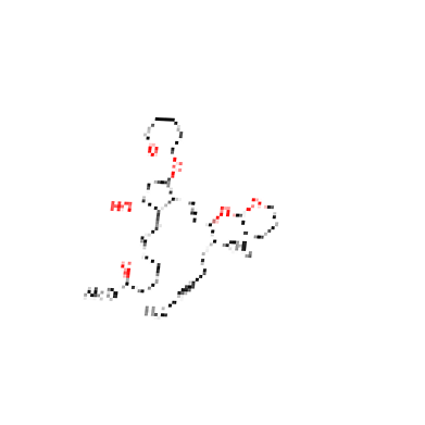 CC#CCCC(C)[C@@H](/C=C/[C@@H]1[C@@H](C/C=C\CCCC(=O)OC)[C@H](O)C[C@H]1OC1CCCCO1)OC1CCCCO1